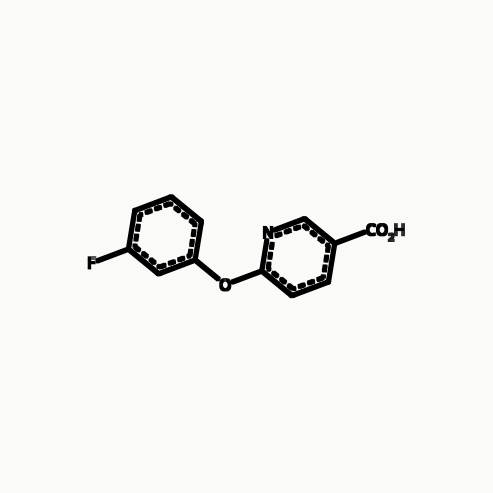 O=C(O)c1ccc(Oc2cccc(F)c2)nc1